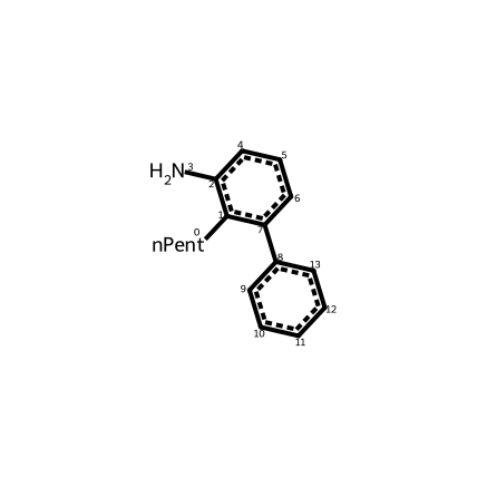 CCCCCc1c(N)cccc1-c1ccccc1